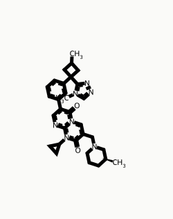 CC1CC(c2cccc(-c3cnc4n(C5CC5)c(=O)c(CN5CCC[C@H](C)C5)cn4c3=O)c2)(c2nncn2C)C1